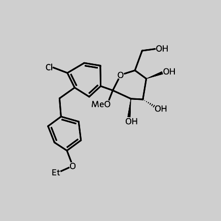 CCOc1ccc(Cc2cc(C3(OC)OC(CO)[C@@H](O)[C@H](O)[C@H]3O)ccc2Cl)cc1